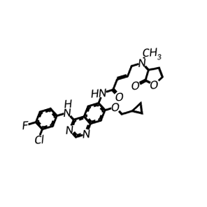 CN(CC=CC(=O)Nc1cc2c(Nc3ccc(F)c(Cl)c3)ncnc2cc1OCC1CC1)C1CCOC1=O